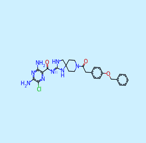 Nc1nc(N)c(C(=O)/N=C2\NCC3(CCN(C(=O)Cc4ccc(OCc5ccccc5)cc4)CC3)N2)nc1Cl